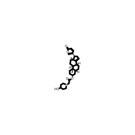 C[C@]12CC[C@H](OC(=O)CN3CCC(O)CC3)C[C@H]1CC[C@H]1C3=CC[C@H](c4ccc(=O)oc4)[C@@]3(C)CC[C@@H]12